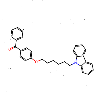 O=C(c1ccccc1)c1ccc(OCCCCCCn2c3ccccc3c3ccccc32)cc1